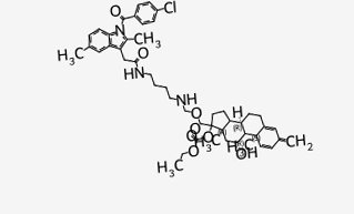 C=C1C=C[C@]2(C)C(=C1)CC[C@H]1C2[C@H](O)C[C@]2(C)C1CCC2(OC(=O)OCC)C(=O)OCNCCCCNC(=O)Cc1c(C)n(C(=O)c2ccc(Cl)cc2)c2ccc(C)cc12